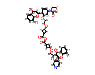 O=C(OC(=O)C1CC(OCCOc2cc(N3CCOC3=O)ccc2-c2cc(=O)c3cccc(Cl)c3o2)C1)C1CC(OCCOc2cnccc2-c2cc(=O)c3cccc(Cl)c3o2)C1